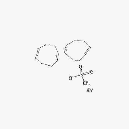 C1=CCCC=CCC1.C1=CCCC=CCC1.O=S(=O)([O-])C(F)(F)F.[Rh+]